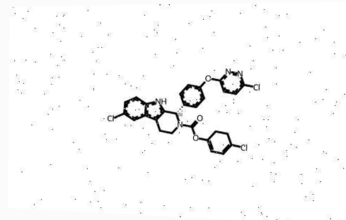 O=C(OC1=CC=C(Cl)CC1)N1CCc2c([nH]c3ccc(Cl)cc23)[C@@H]1c1ccc(Oc2ccc(Cl)nn2)cc1